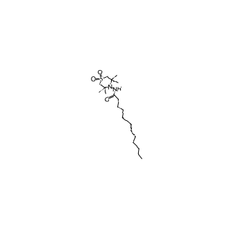 CCCCCCCCCCCC(=O)NN1C(C)(C)CS(=O)(=O)CC1(C)C